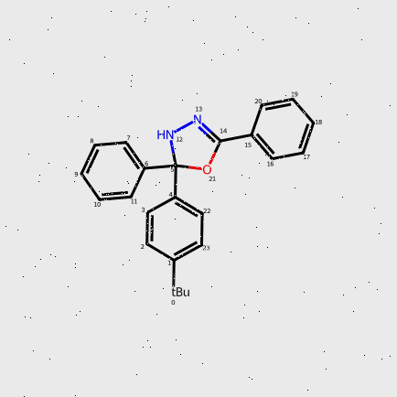 CC(C)(C)c1ccc(C2(c3ccccc3)NN=C(c3ccccc3)O2)cc1